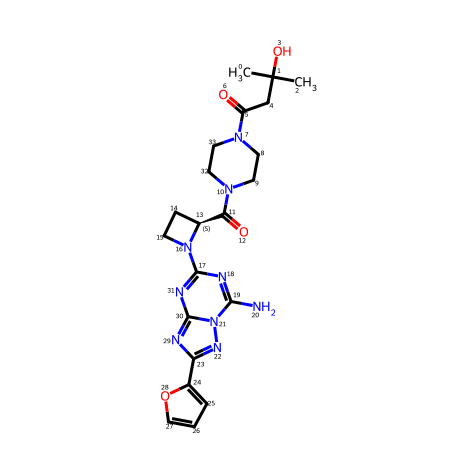 CC(C)(O)CC(=O)N1CCN(C(=O)[C@@H]2CCN2c2nc(N)n3nc(-c4ccco4)nc3n2)CC1